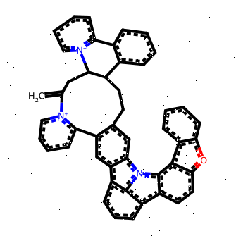 C=C1CC2C(CCc3cc4c(cc3-c3cccc[n+]31)c1cccc3c5ccc6oc7ccccc7c6c5n4c13)c1ccccc1-c1cccc[n+]12